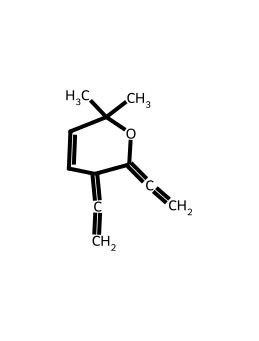 C=C=C1C=CC(C)(C)OC1=C=C